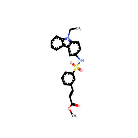 CCn1c2ccccc2c2cc(NS(=O)(=O)c3cccc(/C=C/C(=O)OC)c3)ccc21